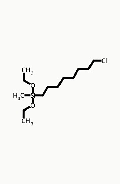 CCO[Si](C)(CCCCCCCCCl)OCC